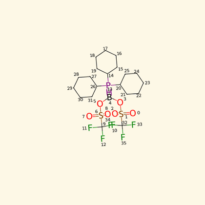 O=S(=O)(OB(OS(=O)(=O)C(F)(F)F)[PH](C1CCCCC1)(C1CCCCC1)C1CCCCC1)C(F)(F)F